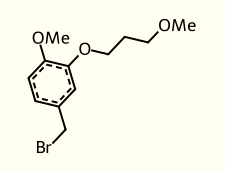 COCCCOc1cc(CBr)ccc1OC